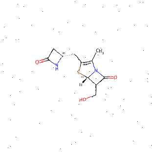 CC1=C(C[C@H]2CC(=O)N2)S[C@H]2C(CO)C(=O)N12